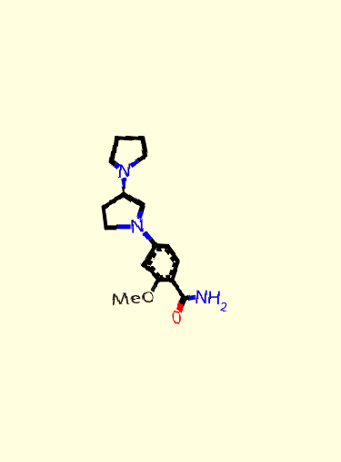 COc1cc(N2CC[C@@H](N3CCCC3)C2)ccc1C(N)=O